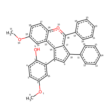 COc1ccc(O)c(-c2cc(-c3ccccc3)c3c(-c4ccccc4)oc4ccc(OC)cc4c2-3)c1